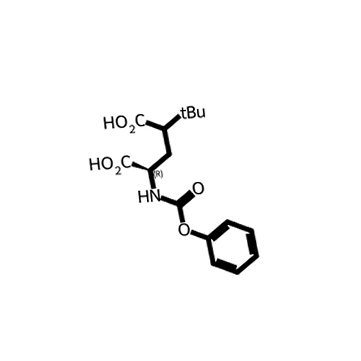 CC(C)(C)C(C[C@@H](NC(=O)Oc1ccccc1)C(=O)O)C(=O)O